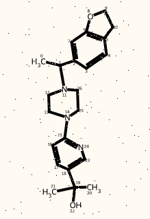 CC(c1ccc2c(c1)OCC2)N1CCN(c2ccc(C(C)(C)O)cn2)CC1